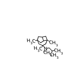 CC(C)CN(C)C1(C)CC2(C)CC3CC(C)(C1)C3C2